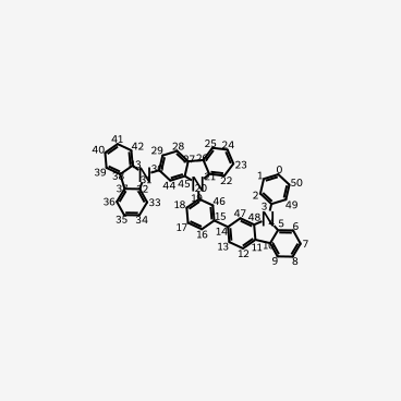 c1ccc(-n2c3ccccc3c3ccc(-c4cccc(-n5c6ccccc6c6ccc(-n7c8ccccc8c8ccccc87)cc65)c4)cc32)cc1